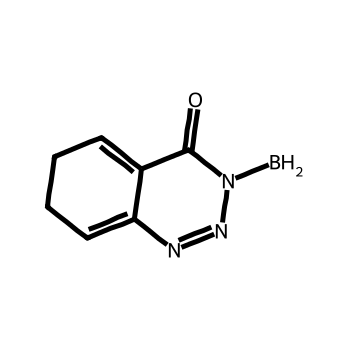 Bn1nnc2c(c1=O)=CCCC=2